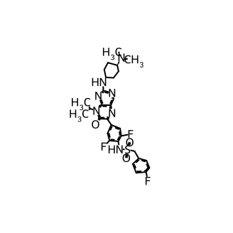 CC(C)n1c(=O)c(-c2cc(F)c(NS(=O)(=O)Cc3ccc(F)cc3)c(F)c2)nc2cnc(N[C@H]3CC[C@H](N(C)C)CC3)nc21